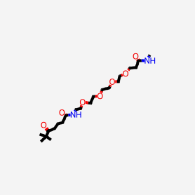 CNC(=O)CCOCCOCCOCCOCCNC(=O)CCCC(=O)C(C)(C)C